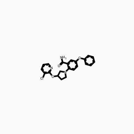 NC(=O)c1cc(Oc2ccccc2)ccc1N1CCC(Oc2ncccc2Cl)C1